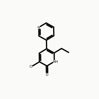 CCc1[nH]c(=O)c(Cl)cc1-c1cccnc1